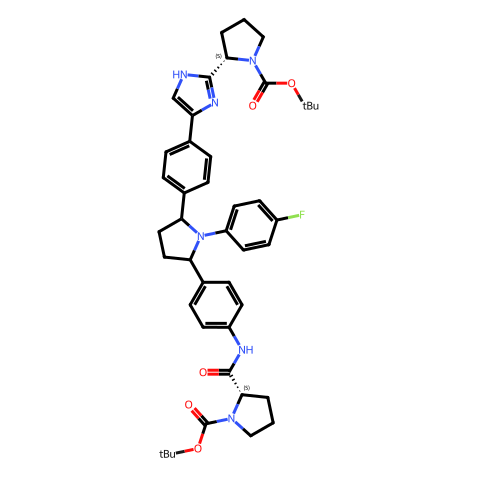 CC(C)(C)OC(=O)N1CCC[C@H]1C(=O)Nc1ccc(C2CCC(c3ccc(-c4c[nH]c([C@@H]5CCCN5C(=O)OC(C)(C)C)n4)cc3)N2c2ccc(F)cc2)cc1